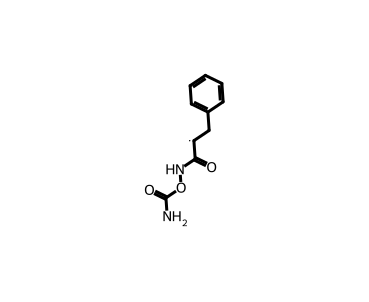 NC(=O)ONC(=O)[CH]Cc1ccccc1